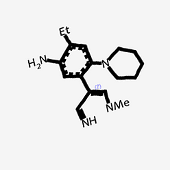 CCc1cc(N2CCCCC2)c(/C(C=N)=C/NC)cc1N